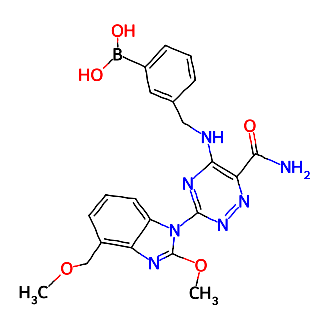 COCc1cccc2c1nc(OC)n2-c1nnc(C(N)=O)c(NCc2cccc(B(O)O)c2)n1